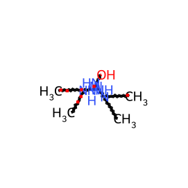 CCCCCCCCCCCCN(CCCCCCCCCCCC)CCCNc1nc(NCCCCO)nc(NCCCN(CCCCCCCCCCCC)CCCCCCCCCCCC)n1